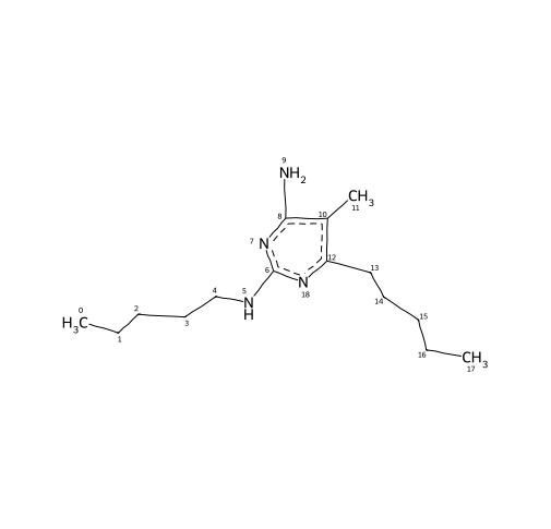 CCCCCNc1nc(N)c(C)c(CCCCC)n1